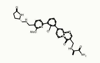 C=C(NCc1cnc2cc(-c3cccc(-c4ccc(CNC[C@@H]5CCC(=O)N5)c(OC)n4)c3Cl)ccn2c1=O)C(N)=O